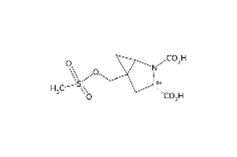 CS(=O)(=O)OCC12CC1N(C(=O)O)[C@H](C(=O)O)C2